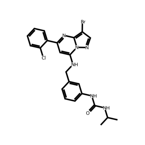 CC(C)NC(=O)Nc1cccc(CNc2cc(-c3ccccc3Cl)nc3c(Br)cnn23)c1